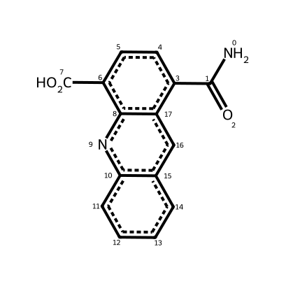 NC(=O)c1ccc(C(=O)O)c2nc3ccccc3cc12